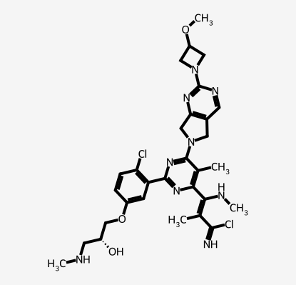 CNC[C@@H](O)COc1ccc(Cl)c(-c2nc(/C(NC)=C(\C)C(=N)Cl)c(C)c(N3Cc4cnc(N5CC(OC)C5)nc4C3)n2)c1